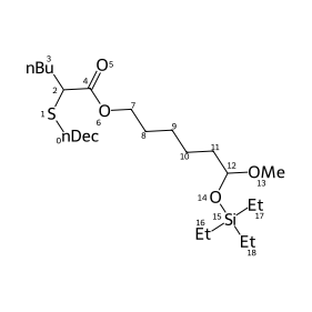 CCCCCCCCCCSC(CCCC)C(=O)OCCCCCC(OC)O[Si](CC)(CC)CC